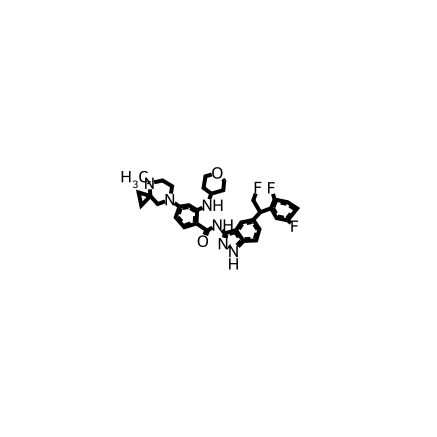 CN1CCN(c2ccc(C(=O)Nc3n[nH]c4ccc(C(CF)c5cc(F)ccc5F)cc34)c(NC3CCOCC3)c2)CC12CC2